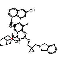 C#Cc1cccc2cc(O)cc(-c3c(F)cc4c(N5CC6CCC(C5)N6C(=O)C(F)(F)F)nc(OCC5(CN6Cc7cccnc7C6)CC5)nc4c3F)c12